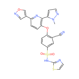 Cn1nccc1-c1nc(-c2cnoc2)ccc1Oc1ccc(S(=O)(=O)Nc2nccs2)cc1C#N